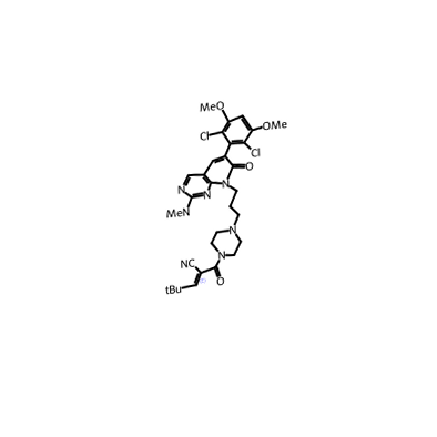 CNc1ncc2cc(-c3c(Cl)c(OC)cc(OC)c3Cl)c(=O)n(CCCN3CCN(C(=O)/C(C#N)=C/C(C)(C)C)CC3)c2n1